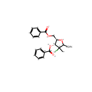 CC(=O)OC1O[C@H](COC(=O)c2ccccc2)[C@@H](OC(=O)c2ccccc2)C1(C)F